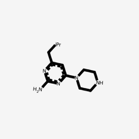 CC(C)Cc1cc(N2CCNCC2)nc(N)n1